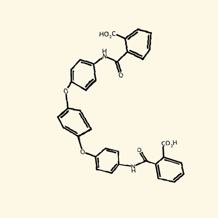 O=C(O)c1ccccc1C(=O)Nc1ccc(Oc2ccc(Oc3ccc(NC(=O)c4ccccc4C(=O)O)cc3)cc2)cc1